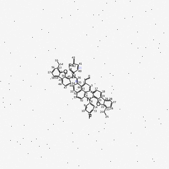 C=Cc1ccc2c(N(c3ccc(F)cc3)c3cccc4c3oc3c(CC)cccc34)ccc3cc/c(=C\N(C(=C)/C=C\C(=C)F)c4cccc5c4oc4c(CC)cccc45)c1c32